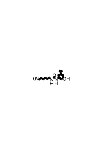 CC(C)C1=CC(O)C=C(NC(=O)NCCCCCCN=O)C1